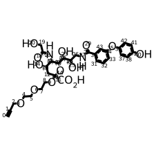 C#CCOCCOCCO[C@]1(C(=O)O)C[C@H](O)[C@@H](NC(=O)CO)[C@H]([C@H](O)[C@H](O)CNC(=O)c2cccc(Oc3ccc(O)cc3)c2)O1